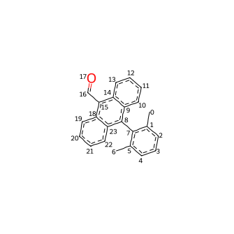 Cc1cccc(C)c1-c1c2ccccc2c(C=O)c2ccccc12